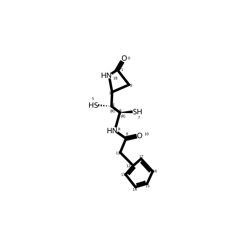 O=C1CC([C@@H](S)[C@@H](S)NC(=O)Cc2ccccc2)N1